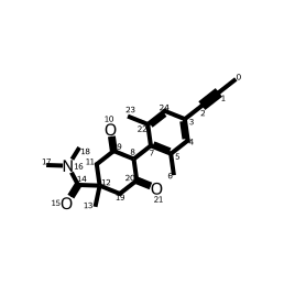 CC#Cc1cc(C)c(C2C(=O)CC(C)(C(=O)N(C)C)CC2=O)c(C)c1